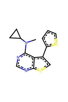 CN(c1ncnc2scc(-c3cccs3)c12)C1CC1